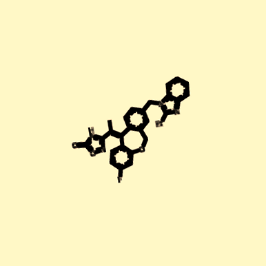 CCc1nc2ccccc2n1Cc1ccc2c(c1)COc1cc(F)ccc1C2=C(C)c1noc(=O)[nH]1